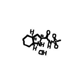 CS(=O)(=O)NC(=O)[C@@H]1C[C@@H]2CCCC[C@@H]2N1.Cl